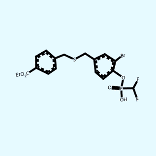 CCOC(=O)c1ccc(CSCc2ccc(OP(=O)(O)C(F)F)c(Br)c2)cc1